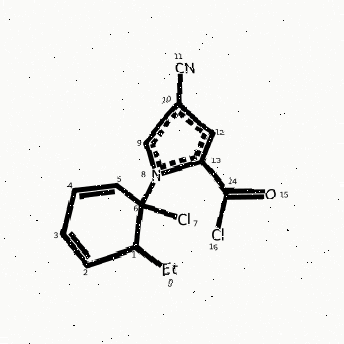 CCC1C=CC=CC1(Cl)n1cc(C#N)cc1C(=O)Cl